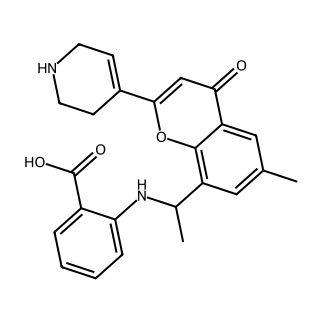 Cc1cc(C(C)Nc2ccccc2C(=O)O)c2oc(C3=CCNCC3)cc(=O)c2c1